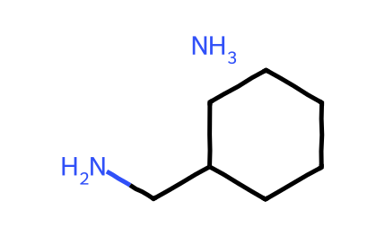 N.NCC1CCCCC1